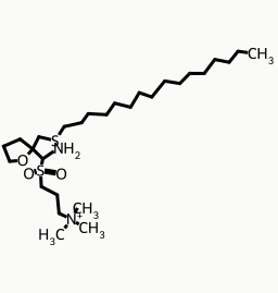 CCCCCCCCCCCCCCCCSCC1(C(N)S(=O)(=O)CCC[N+](C)(C)C)CCCO1